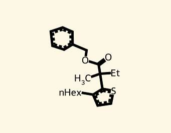 CCCCCCc1ccsc1C(C)(CC)C(=O)OCc1ccccc1